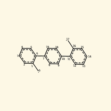 [CH2]c1ccccc1-c1ccc(-c2ccccc2[CH2])cc1